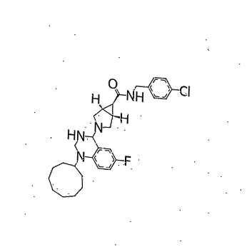 O=C(NCc1ccc(Cl)cc1)[C@H]1[C@@H]2CN(C3NCN(C4CCCCCCCC4)c4ccc(F)cc43)C[C@@H]21